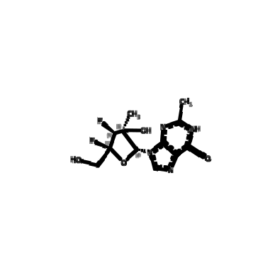 Cc1nc2c(ncn2[C@@H]2O[C@](F)(CO)[C@@H](F)[C@@]2(C)O)c(=O)[nH]1